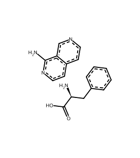 N[C@@H](Cc1ccccc1)C(=O)O.Nc1nccc2ccncc12